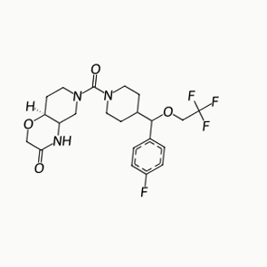 O=C1CO[C@H]2CCN(C(=O)N3CCC(C(OCC(F)(F)F)c4ccc(F)cc4)CC3)CC2N1